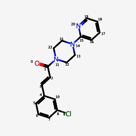 O=C(/C=C/c1cccc(Cl)c1)N1CCN(c2ccccn2)CC1